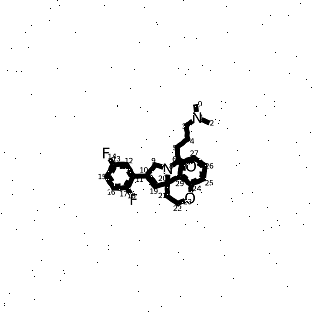 CN(C)CCCC(=O)N1CC(c2cc(F)ccc2F)=CC12CCOc1ccccc12